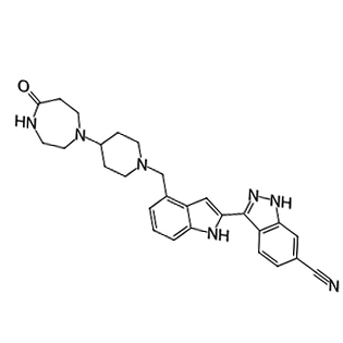 N#Cc1ccc2c(-c3cc4c(CN5CCC(N6CCNC(=O)CC6)CC5)cccc4[nH]3)n[nH]c2c1